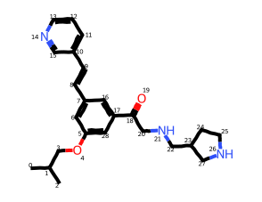 CC(C)COc1cc(C=Cc2cccnc2)cc(C(=O)CNCC2CCNC2)c1